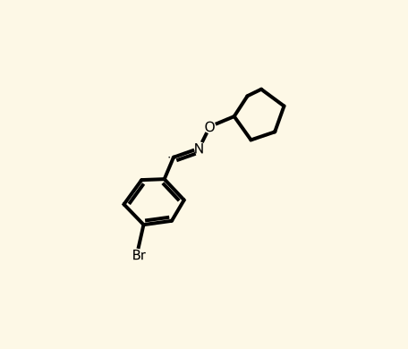 Brc1ccc(/[C]=N/OC2CCCCC2)cc1